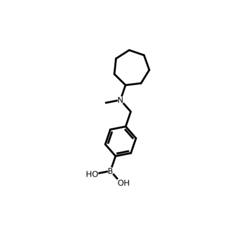 CN(Cc1ccc(B(O)O)cc1)C1CCCCCC1